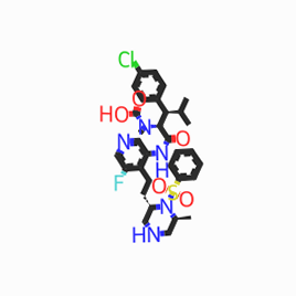 CC(C)[C@H](c1ccc(Cl)cc1)[C@@H](C(=O)Nc1cncc(F)c1CC[C@H]1CNC[C@H](C)N1S(=O)(=O)c1ccccc1)N(C)C(=O)O